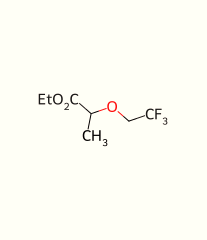 CCOC(=O)C(C)OCC(F)(F)F